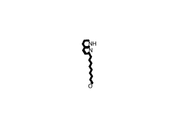 O=CCCCCCCCCc1ccc2c(n1)NCCC2